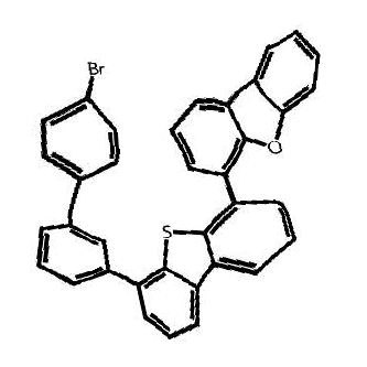 Brc1ccc(-c2cccc(-c3cccc4c3sc3c(-c5cccc6c5oc5ccccc56)cccc34)c2)cc1